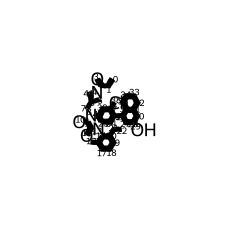 C=CC(=O)N1CC(Cn2c(=O)c(=O)n(-c3c(C)cccc3CC)c3cc(-c4cc(O)cc5ccccc45)c(Cl)cc32)C1